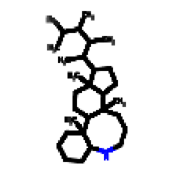 CC(C)C(C)C(C)C(C)C(C)C1CCC2C1(C)CCC1C3(C)CCCCC3NCCCC12C